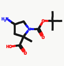 CC(C)(C)OC(=O)N1CC(N)CC1(C)C(=O)O